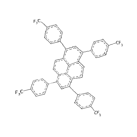 FC(F)(F)c1ccc(-c2cc(-c3ccc(C(F)(F)F)cc3)c3ccc4c(-c5ccc(C(F)(F)F)cc5)cc(-c5ccc(C(F)(F)F)cc5)c5ccc2c3c54)cc1